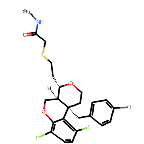 CC(C)(C)NC(=O)CSCC[C@@H]1OCC[C@@]2(Cc3ccc(Cl)cc3)c3c(F)ccc(F)c3OC[C@@H]12